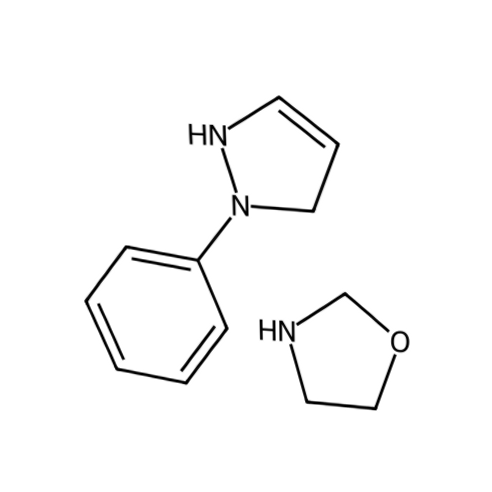 C1=CNN(c2ccccc2)C1.C1COCN1